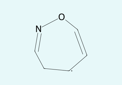 [CH]1C=CON=CC1